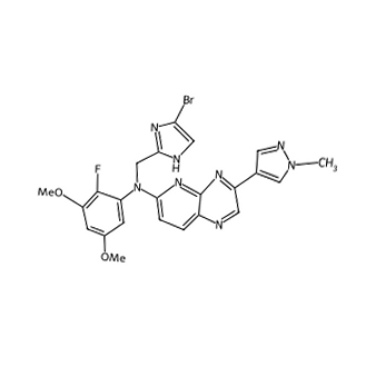 COc1cc(OC)c(F)c(N(Cc2nc(Br)c[nH]2)c2ccc3ncc(-c4cnn(C)c4)nc3n2)c1